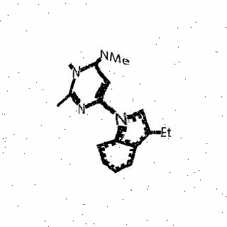 CCc1cn(C2=CC(NC)N(C)C(C)=N2)c2ccccc12